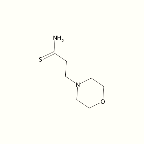 NC(=S)CCN1CCOCC1